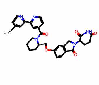 Cc1ccnc(-c2cc(C(=O)N3CCCC[C@@H]3COc3ccc4c(c3)CN(C3CCC(=O)NC3=O)C4=O)ccn2)c1